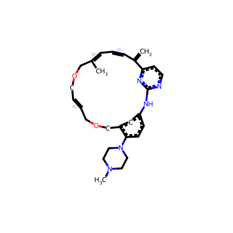 C=C1/C=C\C=C(/C)COC/C=C/COCc2cc(ccc2N2CCN(C)CC2)Nc2nccc1n2